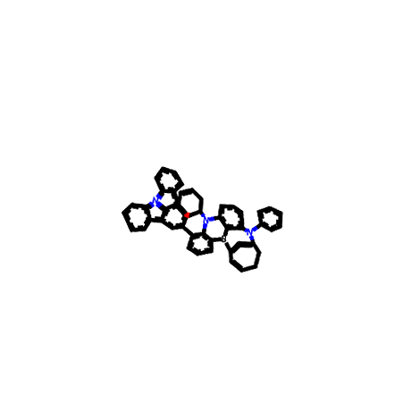 C1=C2C=CCCC=1N(c1ccccc1)c1cccc3c1B2c1cccc(-c2cc4c5ccccc5n5c6ccccc6c(c2)c45)c1N3C1C=CC=CC1